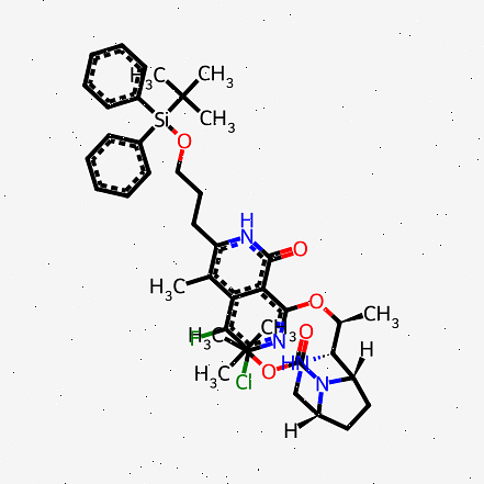 Cc1c(CCCO[Si](c2ccccc2)(c2ccccc2)C(C)(C)C)[nH]c(=O)c2c(O[C@@H](C)[C@H]3NC[C@H]4CC[C@@H]3N4C(=O)OC(C)(C)C)nc(Cl)c(F)c12